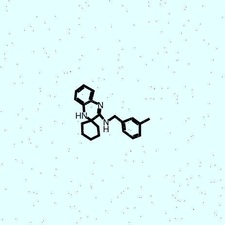 Cc1cccc(CNC2=Nc3ccccc3NC23CCCCC3)c1